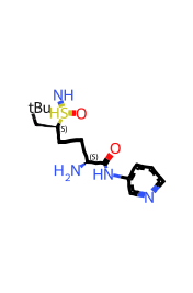 CC(C)(C)C[C@H](CC[C@H](N)C(=O)Nc1cccnc1)[SH](=N)=O